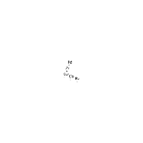 [Co].[Cu].[Pd].[Ru].[Zn]